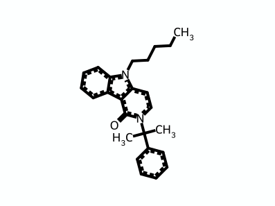 CCCCCn1c2ccccc2c2c(=O)n(C(C)(C)c3ccccc3)ccc21